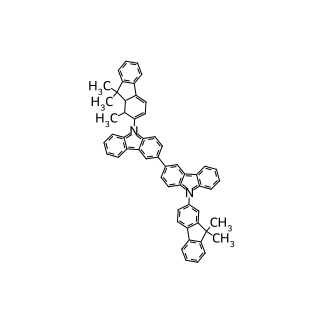 CC1C(n2c3ccccc3c3cc(-c4ccc5c(c4)c4ccccc4n5-c4ccc5c(c4)C(C)(C)c4ccccc4-5)ccc32)=CC=C2c3ccccc3C(C)(C)C21